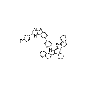 Fc1ccc(-c2cnc3sc4ccc(-c5ccc(-n6c7c8ccccc8ccc7c7c8ccccc8c8c9ccc%10ccccc%10c9sc8c76)cc5)cc4c3n2)cc1